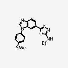 CCNc1nnc(-c2ccc3ncn(-c4ccc(SC)cc4)c3c2)o1